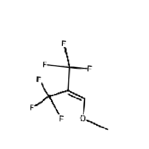 COC=C(C(F)(F)F)C(F)(F)F